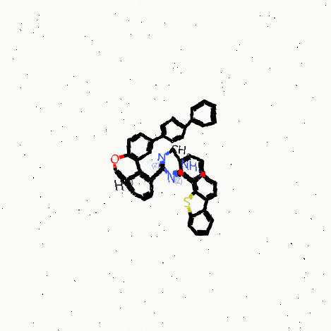 C=C(/N=C(\N=C(/N)c1cccc2c1sc1ccccc12)C1=C2c3cc(-c4ccc(-c5ccccc5)cc4)ccc3OC3=C(C=C1)[C@@H]32)c1ccccc1